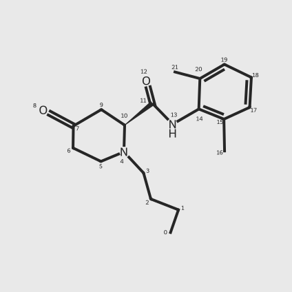 CCCCN1CCC(=O)C[C@H]1C(=O)Nc1c(C)cccc1C